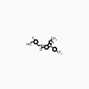 Cn1cc2c3cc(C(=O)NCc4ccc(F)c(CO)c4)ccc3n(-c3ccc(C(F)(F)F)cc3)c2n1